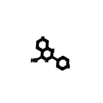 Oc1nc(-c2ccncc2)nc2cnccc12